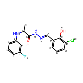 CC(Nc1cccc(F)c1)C(=O)NN=Cc1cccc(Cl)c1O